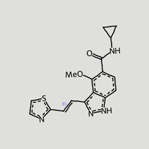 COc1c(C(=O)NC2CC2)ccc2[nH]nc(/C=C/c3nccs3)c12